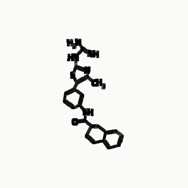 Cc1nc(NC(=N)N)sc1-c1cccc(NC(=O)c2ccc3ccccc3c2)c1